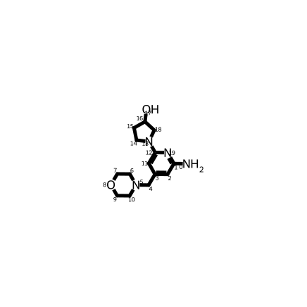 Nc1cc(CN2CCOCC2)cc(N2CCC(O)C2)n1